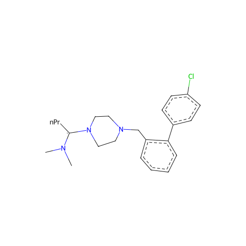 CCC[C](N(C)C)N1CCN(Cc2ccccc2-c2ccc(Cl)cc2)CC1